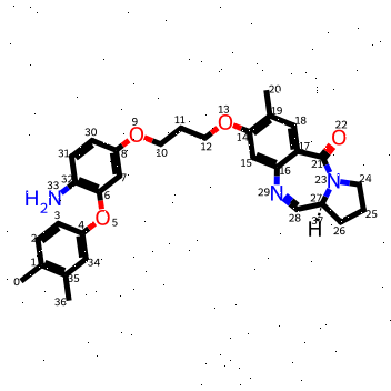 Cc1ccc(Oc2cc(OCCCOc3cc4c(cc3C)C(=O)N3CCC[C@H]3C=N4)ccc2N)cc1C